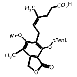 CCCCCOc1c(CC=C(C)CCC(=O)O)c(OC)c(C)c2c1C(=O)OC2